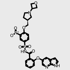 O=C(NS(=O)(=O)c1ccc(OC[C@H]2CCN(C3COC3)C2)c([N+](=O)[O-])c1)c1ccccc1Oc1cnc2[nH]ccc2c1